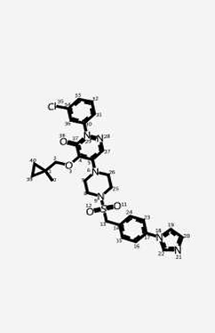 CC1(COc2c(N3CCN(S(=O)(=O)Cc4ccc(-n5ccnc5)cc4)CC3)cnn(-c3cccc(Cl)c3)c2=O)CC1